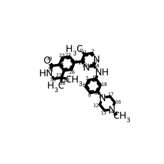 Cc1cnc(Nc2cccc(N3CCN(C)CC3)c2)nc1-c1ccc2c(c1)C(C)(C)CNC2=O